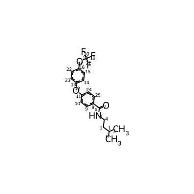 CC(C)CCNC(=O)c1ccc(Oc2ccc(OC(F)(F)F)cc2)cc1